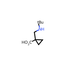 CC(C)(C)NCC1(C(=O)O)CC1